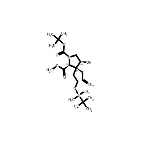 C=CC[C@]1(CCO[Si](C)(C)C(C)(C)C)[C@H](O)CN(C(=O)OC(C)(C)C)[C@@H]1C(=O)OC